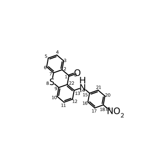 O=c1c2ccccc2sc2cccc(Nc3ccc([N+](=O)[O-])cc3)c12